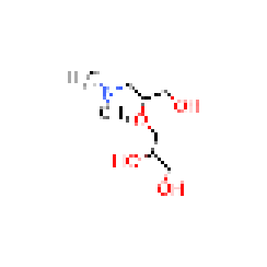 CN(C)CC(CO)OCC(O)CO